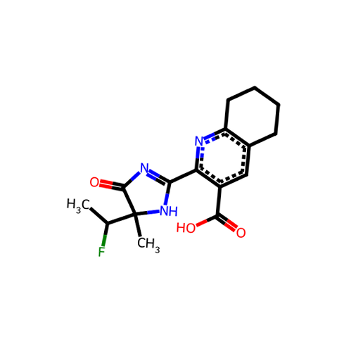 CC(F)C1(C)NC(c2nc3c(cc2C(=O)O)CCCC3)=NC1=O